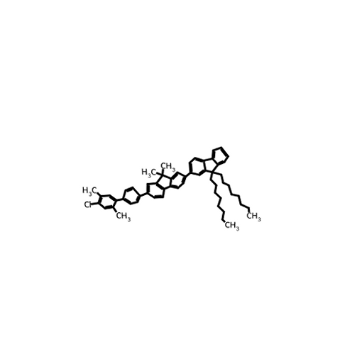 CCCCCCCCC1(CCCCCCCC)c2ccccc2-c2ccc(-c3ccc4c(c3)C(C)(C)c3cc(-c5ccc(-c6cc(C)c(Cl)cc6C)cc5)ccc3-4)cc21